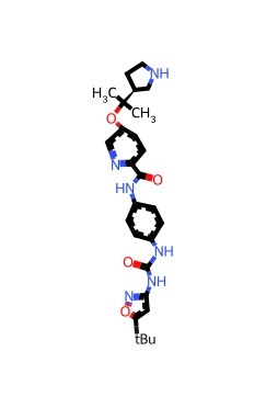 CC(C)(C)c1cc(NC(=O)Nc2ccc(NC(=O)c3ccc(OC(C)(C)[C@H]4CCNC4)cn3)cc2)no1